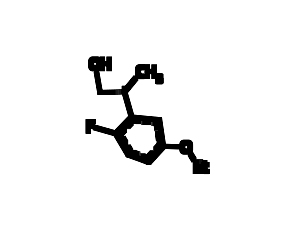 CCOc1ccc(F)c([C](C)CO)c1